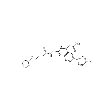 COC(=O)CC(NC(=O)CNC(=O)CCCNc1ccccn1)c1cccc(-c2ccc(F)cc2)c1